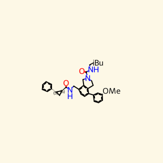 CCC(C)CNC(=O)N1CCc2c(-c3cccc(OC)c3)ccc(CNC(=O)[C@H]3C[C@@H]3c3ccccc3)c2C1